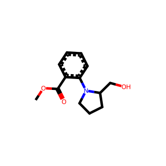 COC(=O)c1ccccc1N1CCCC1CO